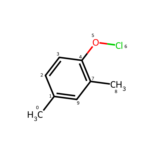 Cc1ccc(OCl)c(C)c1